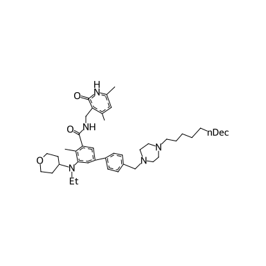 CCCCCCCCCCCCCCCN1CCN(Cc2ccc(-c3cc(C(=O)NCc4c(C)cc(C)[nH]c4=O)c(C)c(N(CC)C4CCOCC4)c3)cc2)CC1